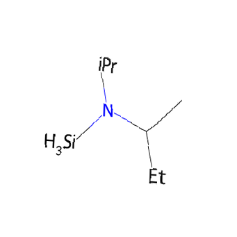 CCC(C)N([SiH3])C(C)C